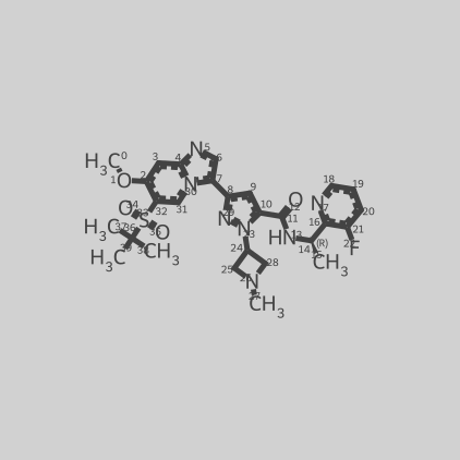 COc1cc2ncc(-c3cc(C(=O)N[C@H](C)c4ncccc4F)n(C4CN(C)C4)n3)n2cc1S(=O)(=O)C(C)(C)C